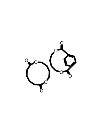 O=C1CCCCC(=O)OCCCCO1.O=C1OCCCCOC(=O)c2ccc1cc2